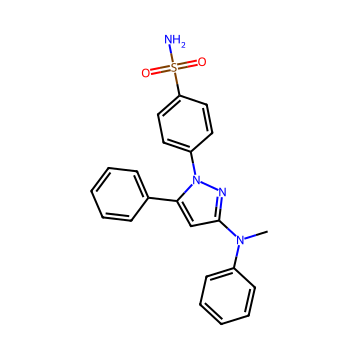 CN(c1ccccc1)c1cc(-c2ccccc2)n(-c2ccc(S(N)(=O)=O)cc2)n1